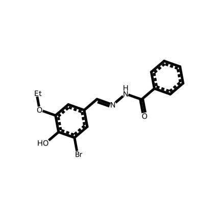 CCOc1cc(C=NNC(=O)c2ccccc2)cc(Br)c1O